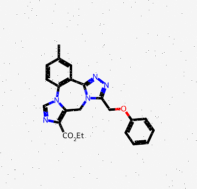 CCOC(=O)c1ncn2c1Cn1c(COc3ccccc3)nnc1-c1cc(C)ccc1-2